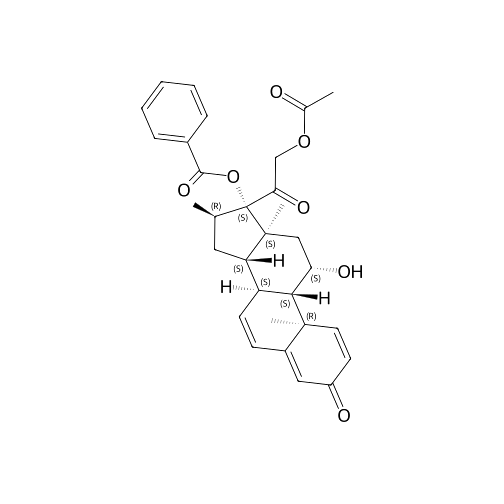 CC(=O)OCC(=O)[C@]1(OC(=O)c2ccccc2)[C@H](C)C[C@H]2[C@@H]3C=CC4=CC(=O)C=C[C@]4(C)[C@H]3[C@@H](O)C[C@@]21C